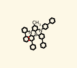 Cc1cc2c3c(c1)N(c1ccccc1-c1ccccc1)c1ccc(-c4ccccc4)cc1B3c1cc(-c3ccccc3)ccc1N2c1ccc(-c2ccccc2)cc1